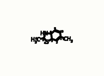 CC1=CC2SC(C)NC2C=C1